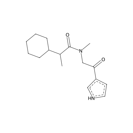 CC(C(=O)N(C)CC(=O)c1cc[nH]c1)C1CCCCC1